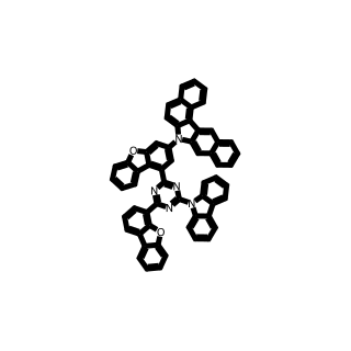 c1ccc2cc3c(cc2c1)c1c2ccccc2ccc1n3-c1cc(-c2nc(-c3cccc4c3oc3ccccc34)nc(-n3c4ccccc4c4ccccc43)n2)c2c(c1)oc1ccccc12